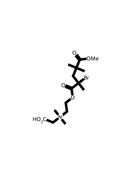 COC(=O)C(C)(C)CC(C)(Br)C(=O)OCC[N+](C)(C)CC(=O)O